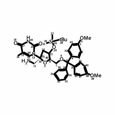 COc1ccc(C(OC[C@H]2O[C@@](CN)(n3cc(C)c(=O)[nH]c3=O)CC2O[Si](C)(C)C(C)(C)C)(c2ccccc2)c2ccc(OC)cc2)cc1